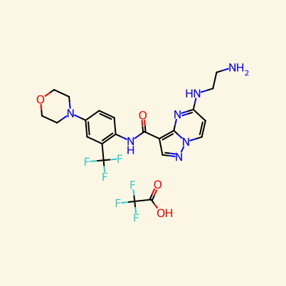 NCCNc1ccn2ncc(C(=O)Nc3ccc(N4CCOCC4)cc3C(F)(F)F)c2n1.O=C(O)C(F)(F)F